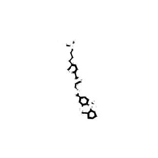 CCN(CC)CCCCc1ccc(-c2ncc(CNC(=O)c3ccc4c(c3)NC(=O)c3ccccc3S4(=O)=O)s2)nc1